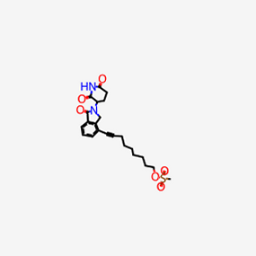 CS(=O)(=O)OCCCCCCCC#Cc1cccc2c1CN(C1CCC(=O)NC1=O)C2=O